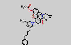 CC(=O)Oc1ccc2c3c1OC1C(N(CCCCCCc4ccccc4)CC(C)C)CC[C@@]4(O)[C@@H](C2)N(CC2CC2)CC[C@]314